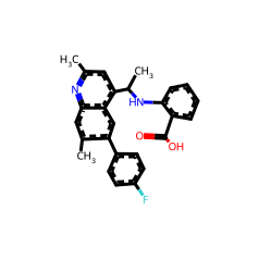 Cc1cc(C(C)Nc2ccccc2C(=O)O)c2cc(-c3ccc(F)cc3)c(C)cc2n1